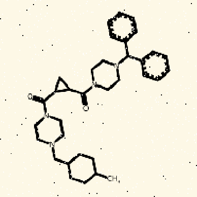 CC1CCC(CN2CCN(C(=O)C3CC3C(=O)N3CCN(C(c4ccccc4)c4ccccc4)CC3)CC2)CC1